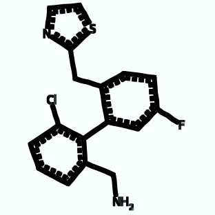 NCc1cccc(Cl)c1-c1cc(F)ccc1Cc1nccs1